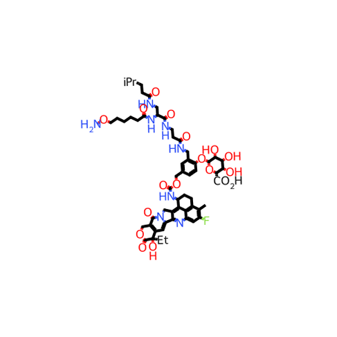 CCC1(O)C(=O)OCc2c1cc1n(c2=O)Cc2c-1nc1cc(F)c(C)c3c1c2C(NC(=O)OCc1ccc(OC2OC(C(=O)O)C(O)C(O)C2O)c(CNC(=O)CCNC(=O)C(CNC(=O)CCC(C)C)NC(=O)CCCCCON)c1)CC3